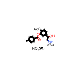 CC(=O)Oc1ccc(C(O)CNC(C)(C)C)cc1OC(=O)c1ccc(C)cc1.CS(=O)(=O)O